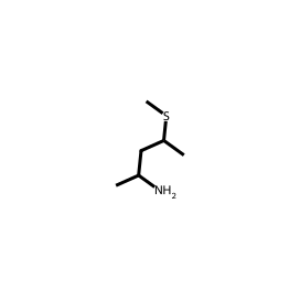 CSC(C)CC(C)N